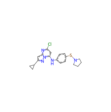 Clc1cc(Nc2ccc(SN3CCCC3)cc2)n2nc(C3CC3)cc2n1